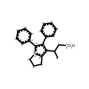 CC(CC(=O)O)c1c(-c2ccccc2)c(-c2ccccc2)n2c1CCC2